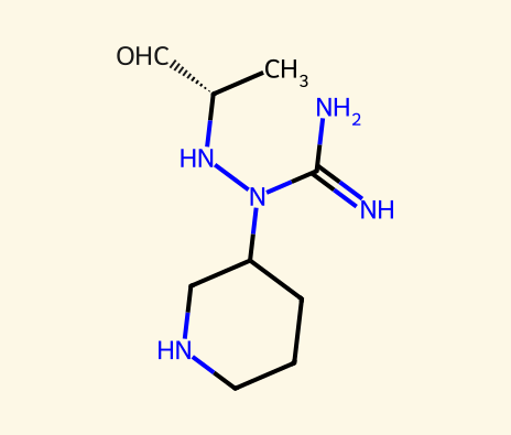 C[C@@H](C=O)NN(C(=N)N)C1CCCNC1